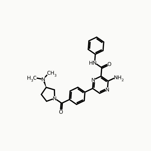 CN(C)[C@@H]1CCN(C(=O)c2ccc(-c3cnc(N)c(C(=O)Nc4ccccc4)n3)cc2)C1